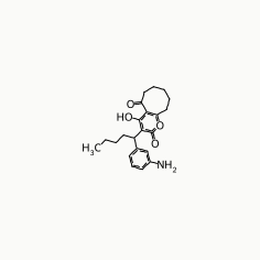 CCCCC(c1cccc(N)c1)c1c(O)c2c(oc1=O)CCCCCC2=O